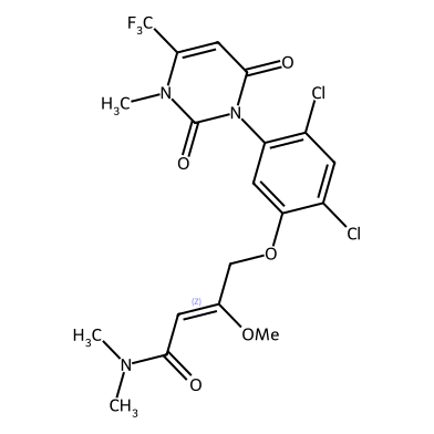 CO/C(=C\C(=O)N(C)C)COc1cc(-n2c(=O)cc(C(F)(F)F)n(C)c2=O)c(Cl)cc1Cl